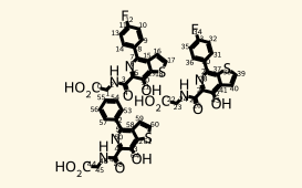 O=C(O)CNC(=O)c1nc(-c2ccc(F)cc2)c2ccsc2c1O.O=C(O)CNC(=O)c1nc(-c2ccc(F)cc2)c2sccc2c1O.O=C(O)CNC(=O)c1nc(-c2ccccc2)c2ccsc2c1O